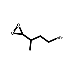 CCCCCC(C)C1OO1